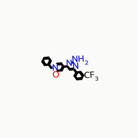 Nc1nc(-c2cccc(C(F)(F)F)c2)cc(-c2ccn(Cc3ccccc3)c(=O)c2)n1